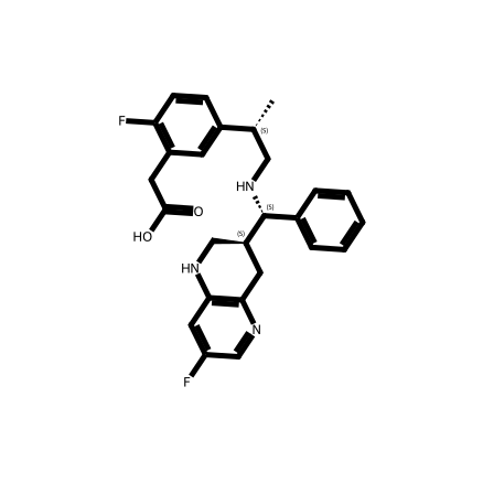 C[C@H](CN[C@H](c1ccccc1)[C@@H]1CNc2cc(F)cnc2C1)c1ccc(F)c(CC(=O)O)c1